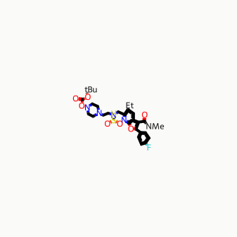 CCc1cc2c(C(=O)NC)c(-c3ccc(F)cc3)oc2nc1CN(CCN1CCN(OC(=O)OC(C)(C)C)CC1)[SH](=O)=O